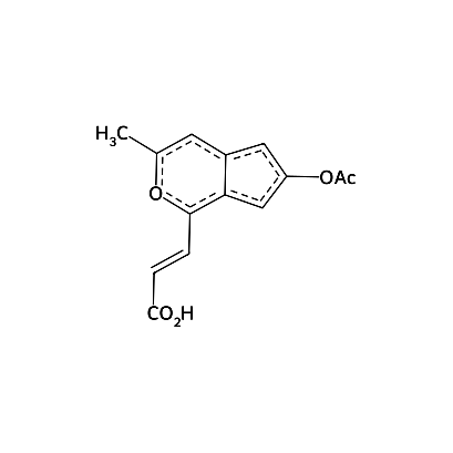 CC(=O)Oc1cc2cc(C)oc(C=CC(=O)O)c-2c1